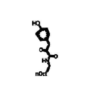 CCCCCCCCCNC(=O)C(=O)Cc1ccc(O)cc1